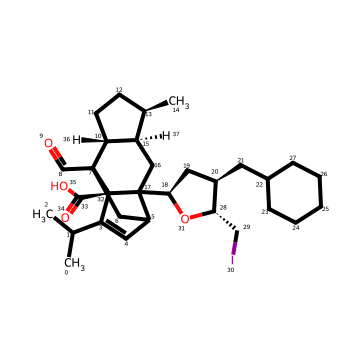 CC(C)C1=CC2CC3(C=O)[C@@H]4CC[C@@H](C)[C@H]4CC2([C@H]2C[C@@H](CC4CCCCC4)[C@H](CI)O2)[C@]13C(=O)O